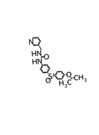 CC(C)Oc1ccc([S+]([O-])c2ccc(NC(=O)NCc3cccnc3)cc2)cc1